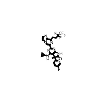 CC1(c2ccc(F)cn2)C(=O)Nc2nc(-c3cn4ccnc4c(CCC(F)(F)C(F)(F)F)n3)nc(NC3CC3)c21